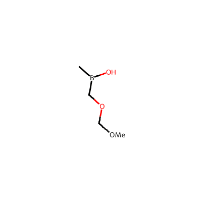 COCOCB(C)O